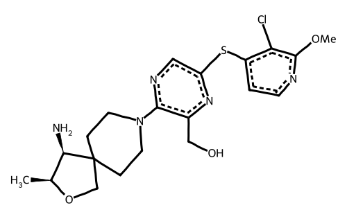 COc1nccc(Sc2cnc(N3CCC4(CC3)CO[C@@H](C)[C@H]4N)c(CO)n2)c1Cl